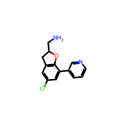 NCC1Cc2cc(Cl)cc(-c3cccnc3)c2O1